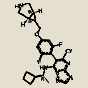 C[C@@H](Nc1c(-c2c(F)cc(OCC3[C@H]4CNC[C@@H]34)cc2F)c(Cl)nc2ncnn12)C1CCC1